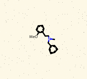 COc1ccccc1CCN(C)Cc1ccccc1